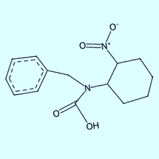 O=C(O)N(Cc1ccccc1)C1CCCCC1[N+](=O)[O-]